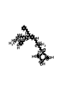 CCNC(=O)/N=C(/N)NCCC[C@@H](NC(=O)C(CCCCCc1ccccc1)c1ccc(NCCCNC(=O)[C@H](N)CCCCNC(C=O)N2CCN(CC(=O)O)CCN(CC(=O)O)CCN(CC(=O)O)CC2)cc1)C(=O)NCc1ccc(O)cc1